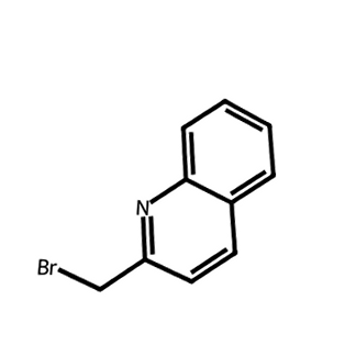 BrCc1ccc2ccccc2n1